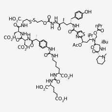 CCCC(=O)OCN(C(=O)[C@@H](NC(=O)[C@H]1CCCCN1C)C(C)CC)[C@H](C[C@@H](OC(C)=O)c1nc(C(=O)N[C@@H](Cc2ccc(O)cc2)C[C@H](C)C(=O)NNC(=O)OCCSSC[C@H](NC(=O)[C@H](CC(=O)O)NC(=O)[C@H](CC(=O)O)NC(=O)[C@H](C)c2ccc(NC(=O)NCCCC[C@H](NC(=O)N[C@@H](CCCC(=O)O)C(=O)O)C(=O)O)cc2)C(=O)O)cs1)C(C)C